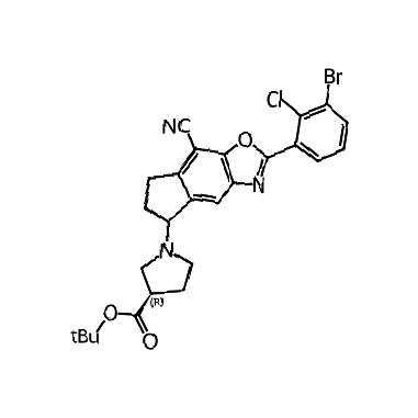 CC(C)(C)OC(=O)[C@@H]1CCN(C2CCc3c2cc2nc(-c4cccc(Br)c4Cl)oc2c3C#N)C1